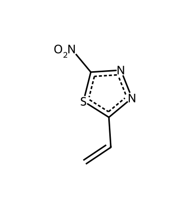 C=Cc1nnc([N+](=O)[O-])s1